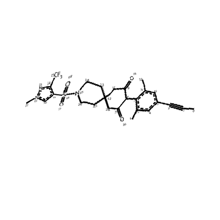 CC#Cc1cc(C)c(C2C(=O)CC3(CCN(S(=O)(=O)c4cn(C)nc4C(F)(F)F)CC3)CC2=O)c(C)c1